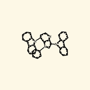 c1ccc(-n2cc(-n3c4ccccc4c4ccccc43)c3nccc(-n4c5ccccc5c5ccccc54)c32)cc1